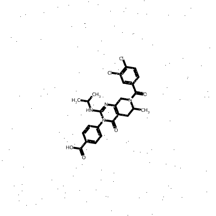 CC(C)Nc1nc2c(c(=O)n1-c1ccc(C(=O)O)cc1)CC(C)N(C(=O)c1ccc(Cl)c(Cl)c1)C2